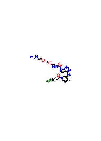 C[C@@H]1CCN(C(=O)CC#N)C[C@@H]1N(C)c1ncnc2c1ccn2C(=O)NCCOCCOCCN.Cl